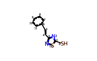 Sc1nc(C=Cc2ccccc2)ns1